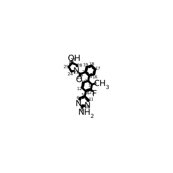 CC1C(F)=C(c2cnc(N)nc2)C=CC1c1ccccc1C(=O)N1CC[C@H](O)C1